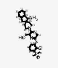 CP(C)(=O)c1cccc(Sc2cnc(N3CCC4(CC3)Cc3ccccc3[C@H]4N)c(CO)n2)c1Cl